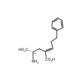 N[C@@H](C/C(=C\CCc1ccccc1)C(=O)O)C(=O)O